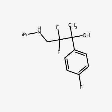 CC(C)NCC(F)(F)C(C)(O)c1ccc(F)cc1